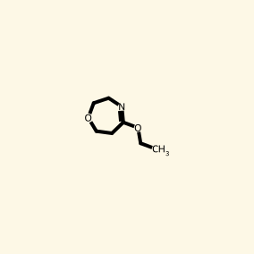 CCOC1=NCCOCC1